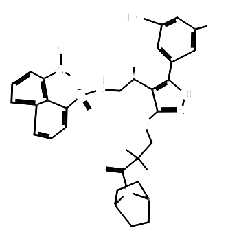 Cc1cc(C)cc(-c2[nH]nc(OCC(C)(C)C(=O)N3C4CCC3CC4)c2[C@H](C)CNS(=O)(=O)c2cccc3cccc(N(C)C)c23)c1